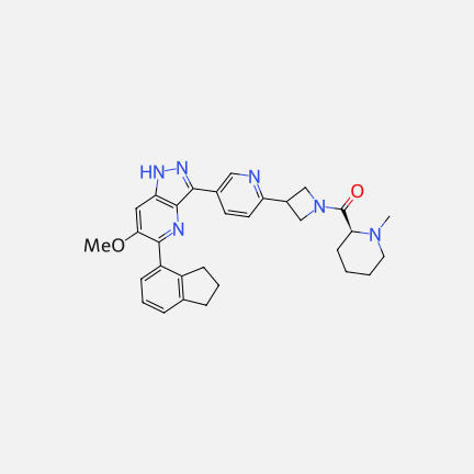 COc1cc2[nH]nc(-c3ccc(C4CN(C(=O)[C@@H]5CCCCN5C)C4)nc3)c2nc1-c1cccc2c1CCC2